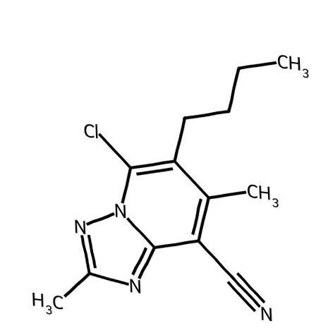 CCCCc1c(C)c(C#N)c2nc(C)nn2c1Cl